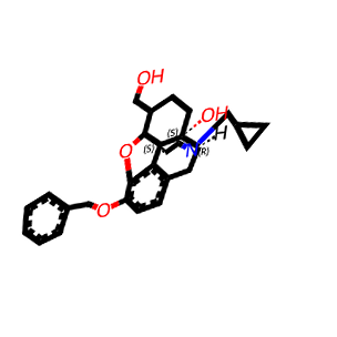 OCC1CC[C@@]2(O)[C@H]3Cc4ccc(OCc5ccccc5)c5c4[C@@]2(CCN3CC2CC2)C1O5